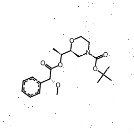 CO[C@@H](C(=O)O[C@@H](C)[C@@H]1CN(C(=O)OC(C)(C)C)CCO1)c1ccccc1